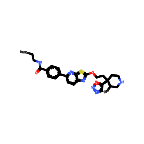 COCCNC(=O)c1ccc(-c2ccc3nc(OCCC4(c5cnno5)CCNCC4C(C)C)sc3n2)cc1